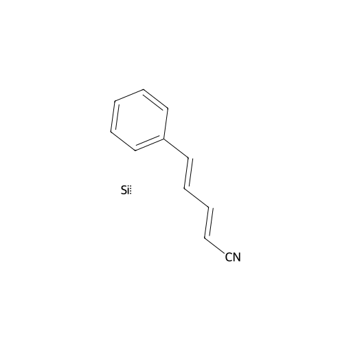 N#CC=CC=Cc1ccccc1.[Si]